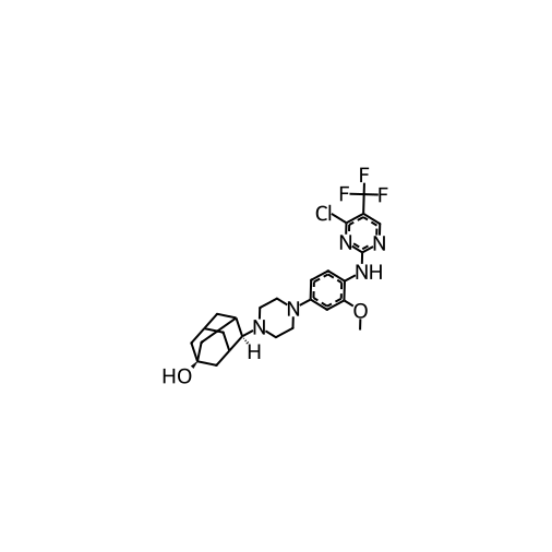 COc1cc(N2CCN([C@H]3C4CC5CC3C[C@@](O)(C5)C4)CC2)ccc1Nc1ncc(C(F)(F)F)c(Cl)n1